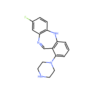 Fc1ccc2c(c1)N=Cc1c(cccc1N1CCNCC1)N2